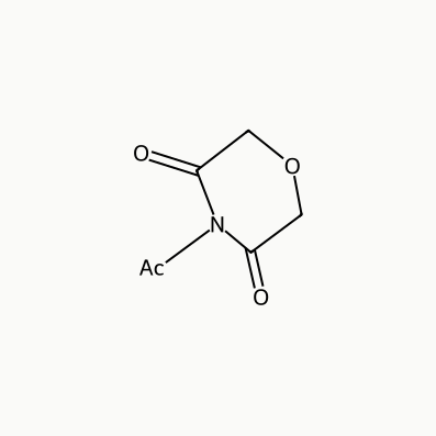 CC(=O)N1C(=O)COCC1=O